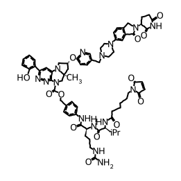 CC(C)[C@H](NC(=O)CCCCCN1C(=O)C=CC1=O)C(=O)N[C@@H](CCCNC(N)=O)C(=O)Nc1ccc(COC(=O)N2C[C@]3(C)C[C@@H](Oc4ccc(CN5CCN(c6ccc7c(c6)C(=O)N([C@H]6CCC(=O)NC6=O)C7)CC5)cn4)CN3c3cc(-c4ccccc4O)nnc32)cc1